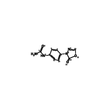 NC(=O)Nc1ccc(-n2ncoc2=O)cc1